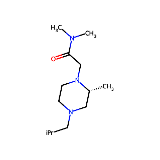 CC(C)CN1CCN(CC(=O)N(C)C)[C@H](C)C1